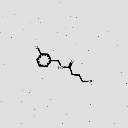 O=C(CCCO)NCc1cccc(Cl)c1